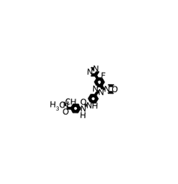 CN(C)C(=O)c1ccc(NC(=O)Nc2ccc(-c3nc(N4CCOCC4)c4cc(F)c(-c5cncnc5)cc4n3)cc2)cc1